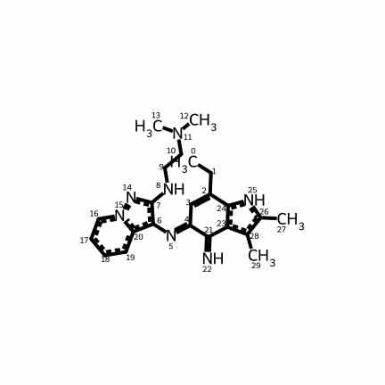 CCC1=C/C(=N\c2c(NCCN(C)C)nn3ccccc23)C(=N)c2c1[nH]c(C)c2C